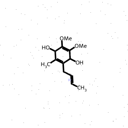 C/C=C/CC1=C(C)C(O)C(OC)=C(OC)C1O